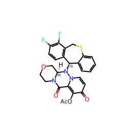 CC(=O)Oc1c2n(ccc1=O)N([C@@H]1c3ccccc3SCc3c1ccc(F)c3F)[C@@H]1COCCN1C2=O